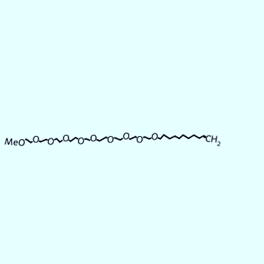 C=CCCCCCCCCCOCCOCCOCCOCCOCCOCCOCCOCCOCCOC